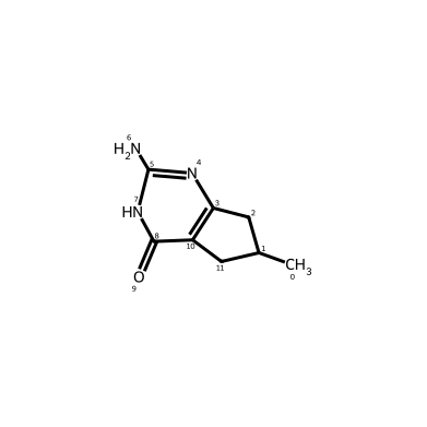 CC1Cc2nc(N)[nH]c(=O)c2C1